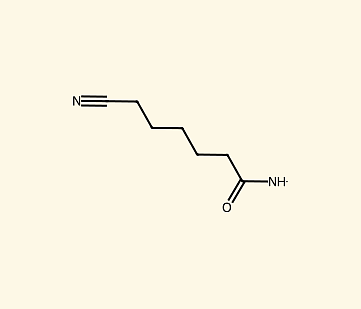 N#CCCCCCC([NH])=O